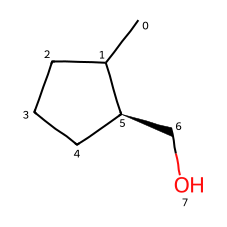 CC1CCC[C@@H]1CO